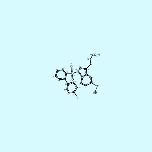 CCOc1ccc2c(c1)c(CCC(=O)O)cn2S(=O)(=O)c1ccccc1-c1ccc(CC)cc1